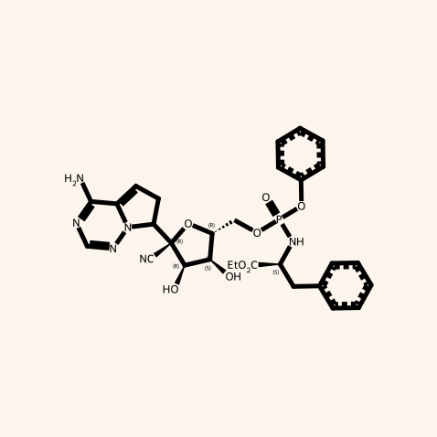 CCOC(=O)[C@H](Cc1ccccc1)NP(=O)(OC[C@H]1O[C@@](C#N)(C2CC=C3C(N)=NC=NN32)[C@H](O)[C@@H]1O)Oc1ccccc1